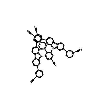 N#Cc1cccc(-c2ccc3c4ccc(-c5cccc(C#N)c5)cc4n(-c4cc(C#N)cc(-n5c6cc(-c7cccc(C#N)c7)ccc6c6ccc(-c7cccc(C#N)c7)cc65)c4-c4ccncc4)c3c2)c1